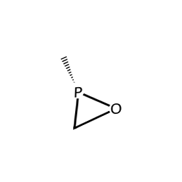 C[P@@]1CO1